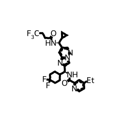 CCc1ccnc(C(=O)N[C@H](c2cn3ncc([C@H](NC(=O)CCC(F)(F)F)C4CC4)cc3n2)C2CCC(F)(F)CC2)c1